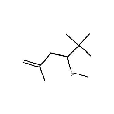 C=C(C)CC(SC)C(C)(C)C